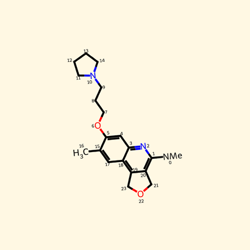 CNc1nc2cc(OCCCN3CCCC3)c(C)cc2c2c1COC2